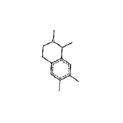 Cc1cc2c(cc1C)C(C)N(C)CC2